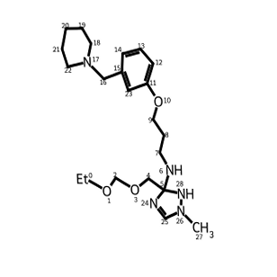 CCOCOCC1(NCCCOc2cccc(CN3CCCCC3)c2)N=CN(C)N1